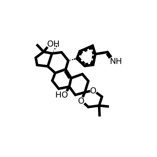 CC1(C)COC2(CCC3=C4C(CCC3(O)C2)C2CCC(C)(O)[C@@]2(C)C[C@@H]4c2ccc(C=N)cc2)OC1